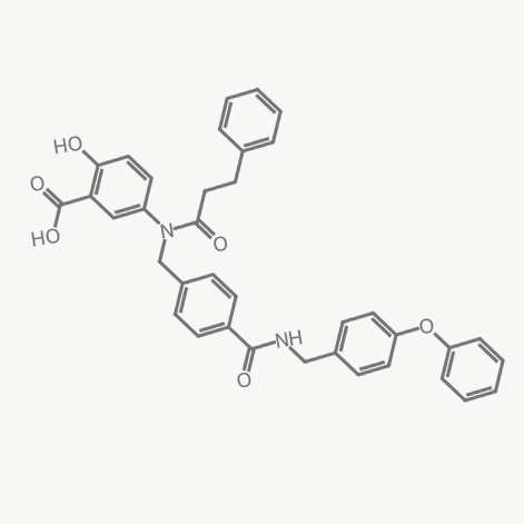 O=C(NCc1ccc(Oc2ccccc2)cc1)c1ccc(CN(C(=O)CCc2ccccc2)c2ccc(O)c(C(=O)O)c2)cc1